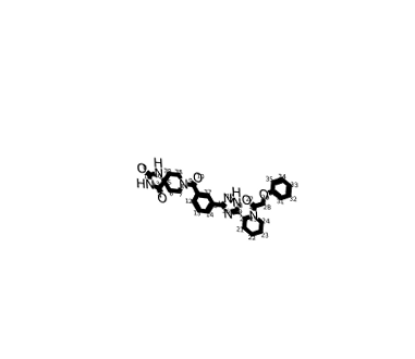 O=C1NC(=O)C2(CCN(C(=O)c3cccc(-c4n[nH]c([C@H]5CCCCN5C(=O)COc5ccccc5)n4)c3)CC2)N1